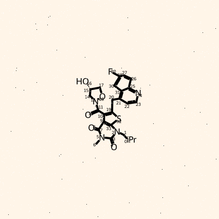 CC(C)Cn1c(=O)n(C)c(=O)c2c(C(=O)N3C[C@H](O)CO3)c(Cc3ccnc4ccc(F)cc34)sc21